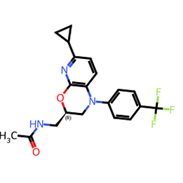 CC(=O)NC[C@@H]1CN(c2ccc(C(F)(F)F)cc2)c2ccc(C3CC3)nc2O1